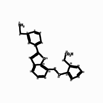 NCc1cccc(-c2cc3cccc(COc4ccccc4CC(=O)O)c3o2)c1